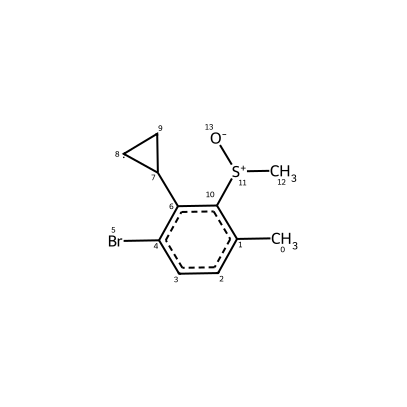 Cc1ccc(Br)c(C2[CH]C2)c1[S+](C)[O-]